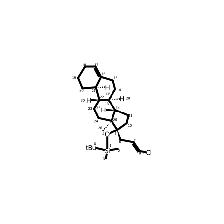 CC(C)(C)[Si](C)(C)O[C@@]1(CC=CCl)CC[C@H]2[C@@H]3CCC4=CCCC[C@@H]4[C@H]3CC[C@@]21C